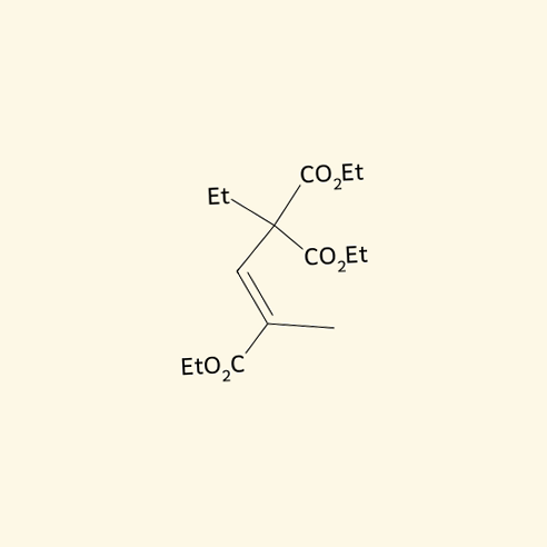 CCOC(=O)C(C)=CC(CC)(C(=O)OCC)C(=O)OCC